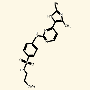 COCCNS(=O)(=O)c1ccc(Nc2nccc(-c3[nH]c(C(C)C)nc3C)n2)cc1